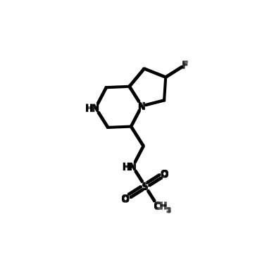 CS(=O)(=O)NCC1CNCC2CC(F)CN12